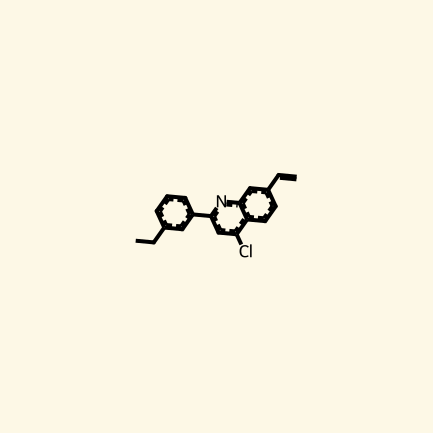 C=Cc1ccc2c(Cl)cc(-c3cccc(CC)c3)nc2c1